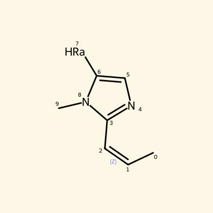 C/C=C\c1nc[c]([RaH])n1C